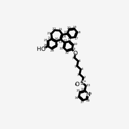 [O-][S+](CCCCCCOc1ccc(C2=C(c3ccccc3)CCCc3cc(O)ccc32)cc1)Cc1ccccn1